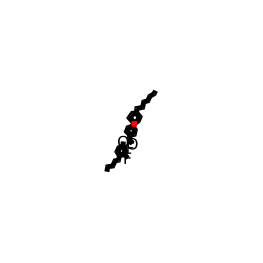 CCCCCCCc1ccc(-c2ccc(C(=O)Oc3ccc(CCCCC)c(F)c3F)cc2)cc1